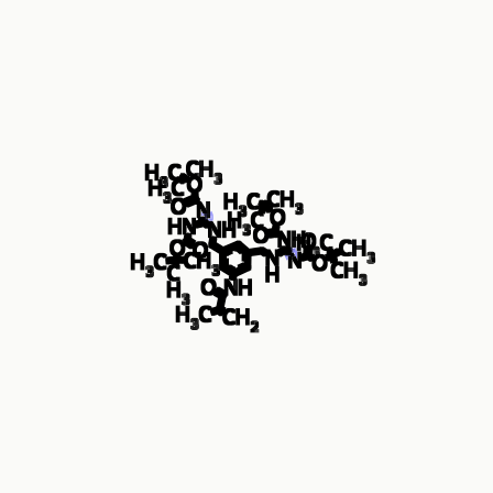 C=C(C)C(=O)Nc1cc(CN/C(=N/C(=O)OC(C)(C)C)NC(=O)OC(C)(C)C)cc(CN/C(=N/C(=O)OC(C)(C)C)NC(=O)OC(C)(C)C)c1